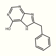 Oc1ncnc2nc(Cc3ccccc3)[nH]c12